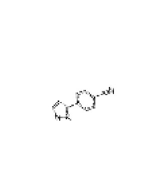 N#Cc1ccc(C2=N[N]C=C2)cc1